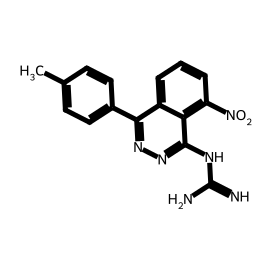 Cc1ccc(-c2nnc(NC(=N)N)c3c([N+](=O)[O-])cccc23)cc1